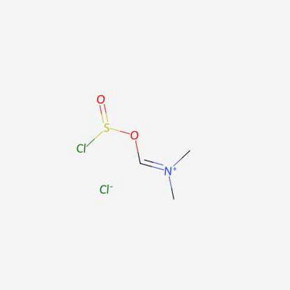 C[N+](C)=COS(=O)Cl.[Cl-]